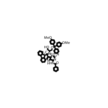 COc1ccc(C(OCC(CO)N(C(=O)O)C(C)(c2c[nH]c3c(NC(=O)c4ccccc4)ncnc23)C2c3ccccc3-c3ccccc32)(c2ccccc2)c2ccc(OC)cc2)cc1